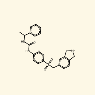 CC(NC(=O)Nc1ccc(S(=O)(=O)Cc2ccc3c(c2)CNC3)cn1)c1ccccc1